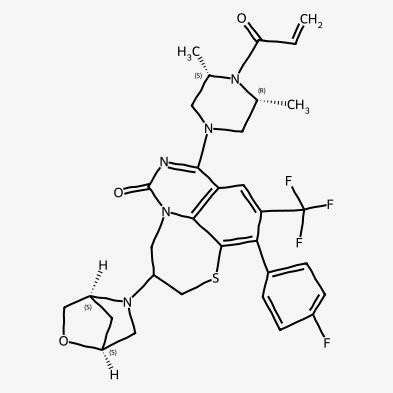 C=CC(=O)N1[C@H](C)CN(c2nc(=O)n3c4c(c(-c5ccc(F)cc5)c(C(F)(F)F)cc24)SCC(N2C[C@@H]4C[C@H]2CO4)C3)C[C@@H]1C